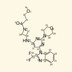 COCCC(=O)N1CC(Nc2cc(-n3c(C(F)F)nc4ccccc43)nc(N3CCOCC3)n2)C1